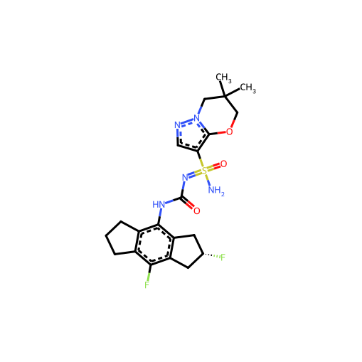 CC1(C)COc2c(S(N)(=O)=NC(=O)Nc3c4c(c(F)c5c3C[C@H](F)C5)CCC4)cnn2C1